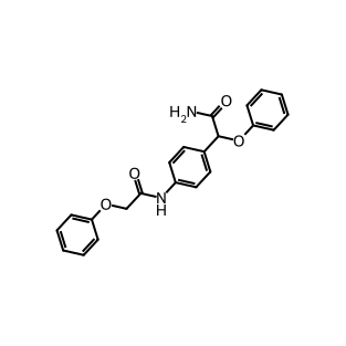 NC(=O)C(Oc1ccccc1)c1ccc(NC(=O)COc2ccccc2)cc1